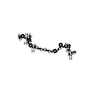 COC[C@H]1CN[C@H](C)CN1CC(=O)N1CC(C)(C)c2ncc(Cc3ccccc3OCCN3CCN(CCOCCOCCOCCOCC(=O)Nc4ccc(Nc5ncc(C(F)(F)F)c(NCc6cccc(S(C)(=O)=O)c6)n5)cc4)CC3)cc21